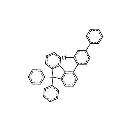 Clc1cc(-c2ccccc2)ccc1-c1cccc2c1-c1ccccc1C2(c1ccccc1)c1ccccc1